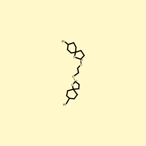 CC(C)C1CCC2(CC1)CC[C@@H](OCCO[C@@H]1CCC3(CCC(C(C)C)CC3)O1)O2